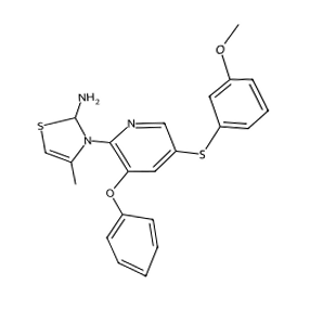 COc1cccc(Sc2cnc(N3C(C)=CSC3N)c(Oc3ccccc3)c2)c1